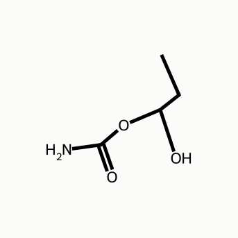 CCC(O)OC(N)=O